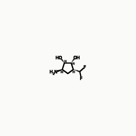 N[C@@H]1C[C@@H](C(F)F)[C@@H](O)[C@H]1O